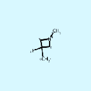 [CH2]C1(F)CN(C)C1